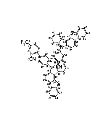 N#Cc1cc(C(F)(F)F)ccc1-c1ccc(-n2c3ccccc3c3c4sc5ccccc5c4ccc32)c(-c2cc(-n3c4ccccc4c4c5sc6ccccc6c5ccc43)ccc2C#N)c1